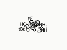 C#CC[C@H]1CC(F)(F)C[C@@H](C(=O)N[C@@H](C[C@@H]2CCCNC2=O)C(N)=O)N1C(=O)[C@H](CC1CCC1)NC(=O)OC(C)(C)C